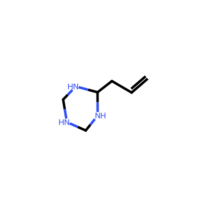 C=CCC1NCNCN1